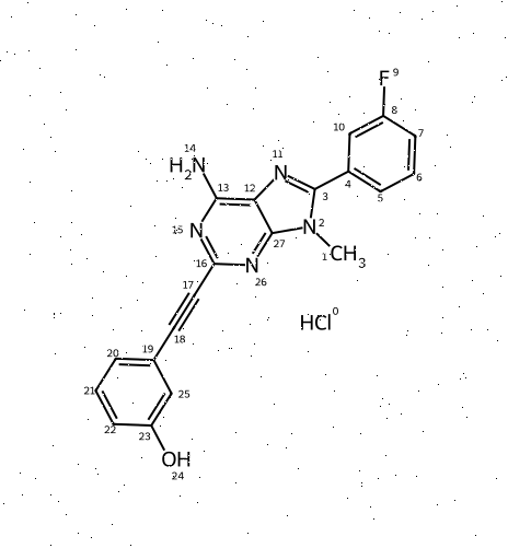 Cl.Cn1c(-c2cccc(F)c2)nc2c(N)nc(C#Cc3cccc(O)c3)nc21